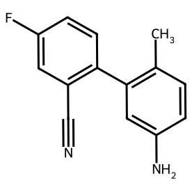 Cc1ccc(N)cc1-c1ccc(F)cc1C#N